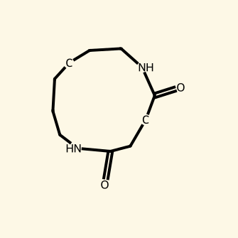 O=C1CCC(=O)NCCCCCCN1